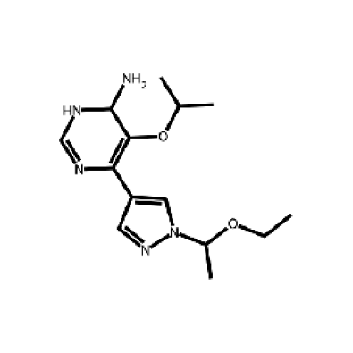 CCOC(C)n1cc(C2=C(OC(C)C)C(N)NC=N2)cn1